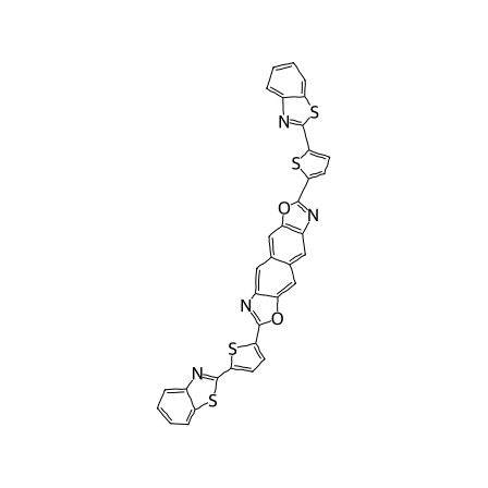 c1ccc2sc(-c3ccc(-c4nc5cc6cc7oc(-c8ccc(-c9nc%10ccccc%10s9)s8)nc7cc6cc5o4)s3)nc2c1